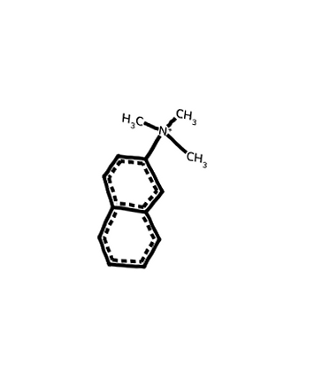 C[N+](C)(C)c1ccc2ccccc2c1